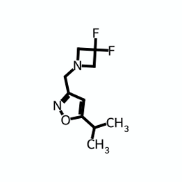 CC(C)c1cc(CN2CC(F)(F)C2)no1